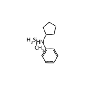 C[SiH3].c1ccc(NC2CCCC2)cc1